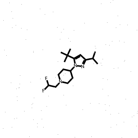 CC(C)c1cc(C(C)(C)C)n(C2CCN(CC(F)F)CC2)n1